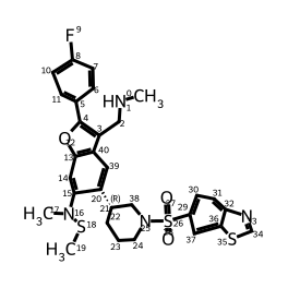 CNCc1c(-c2ccc(F)cc2)oc2cc(N(C)SC)c([C@H]3CCCN(S(=O)(=O)c4ccc5ncsc5c4)C3)cc12